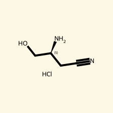 Cl.N#CC[C@H](N)CO